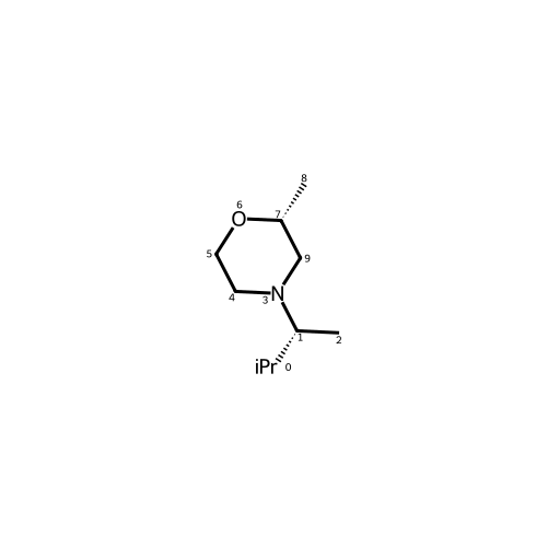 CC(C)[C@@H](C)N1CCO[C@H](C)C1